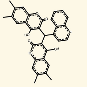 Cc1cc2oc(=O)c(C(c3c(O)c4cc(C)c(C)cc4oc3=O)c3ccnc4ccccc34)c(O)c2cc1C